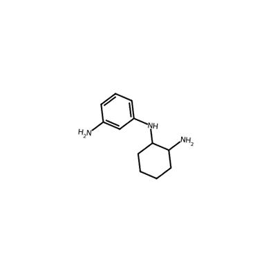 Nc1cccc(NC2CCCCC2N)c1